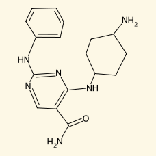 NC(=O)c1cnc(Nc2ccccc2)nc1NC1CCC(N)CC1